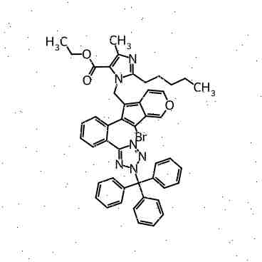 CCCCCc1nc(C)c(C(=O)OCC)n1Cc1c2ccocc-2c(Br)c1-c1ccccc1-c1nnn(C(c2ccccc2)(c2ccccc2)c2ccccc2)n1